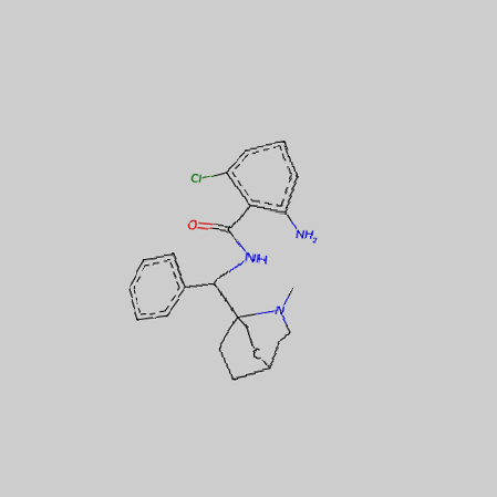 CN1CC2CCC1(C(NC(=O)c1c(N)cccc1Cl)c1ccccc1)CC2